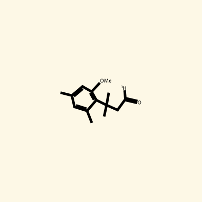 [3H]C(=O)CC(C)(C)c1c(C)cc(C)cc1OC